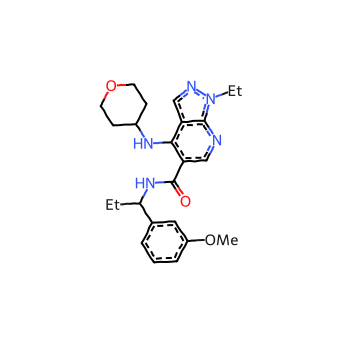 CCC(NC(=O)c1cnc2c(cnn2CC)c1NC1CCOCC1)c1cccc(OC)c1